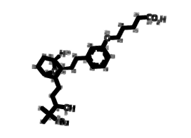 CCCCC(C)(C)C(O)CCC1C2CC[C@@H](O2)[C@H]1CCc1cccc(OCCCCC(=O)O)c1